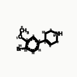 COc1cc(C2=CCNCC2)ccc1Br